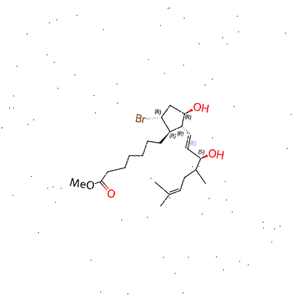 COC(=O)CCCCCC[C@@H]1[C@@H](/C=C/[C@@H](O)C(C)CC=C(C)C)[C@H](O)C[C@H]1Br